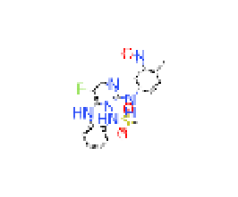 Cc1ccc(Nc2ncc(F)c(Nc3ccccc3NS(C)(=O)=O)n2)cc1N=O